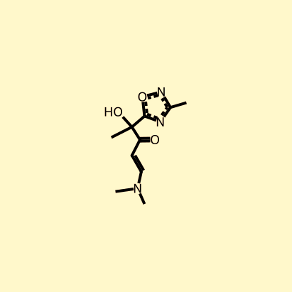 Cc1noc(C(C)(O)C(=O)C=CN(C)C)n1